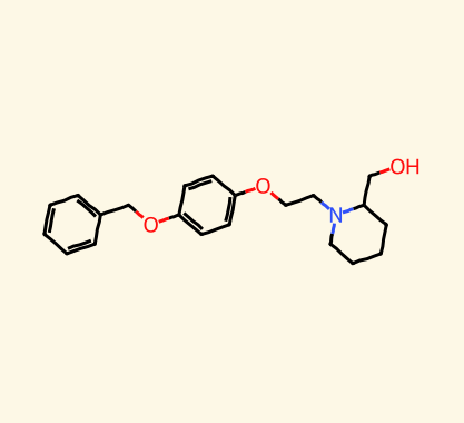 OCC1CCCCN1CCOc1ccc(OCc2ccccc2)cc1